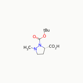 CN1CC[C@@H](C(=O)O)N1C(=O)OC(C)(C)C